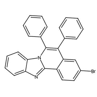 Brc1ccc2c(c1)c(-c1ccccc1)c(-c1ccccc1)n1c3ccccc3nc21